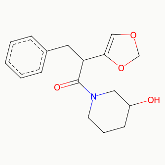 O=C(C(Cc1ccccc1)C1=COCO1)N1CCCC(O)C1